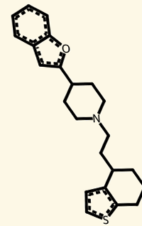 c1ccc2oc(C3CCN(CCC4CCCc5sccc54)CC3)cc2c1